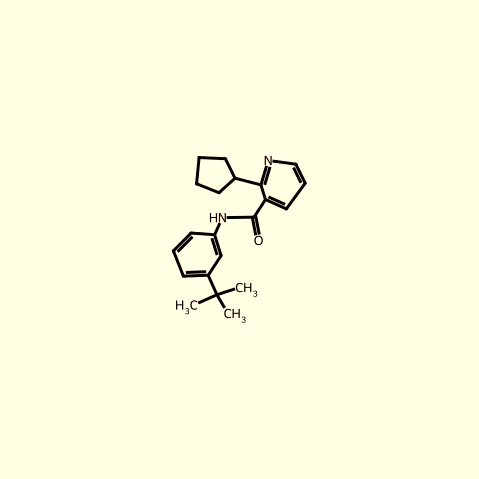 CC(C)(C)c1cccc(NC(=O)c2cccnc2C2CCCC2)c1